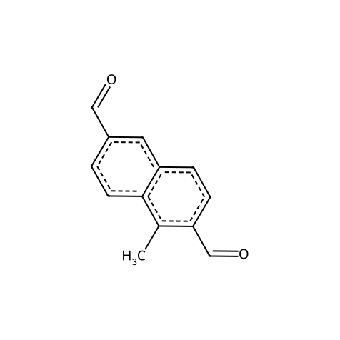 Cc1c(C=O)ccc2cc(C=O)ccc12